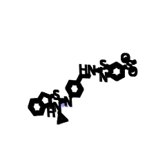 CS(=O)(=O)c1ccc2nc(NCCc3ccc(/N=C4\SC5Cc6ccccc6[C@@H]5N4C4CC4)cc3)sc2c1